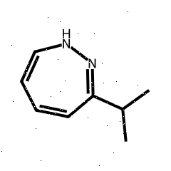 CC(C)C1=NNC=CC=C1